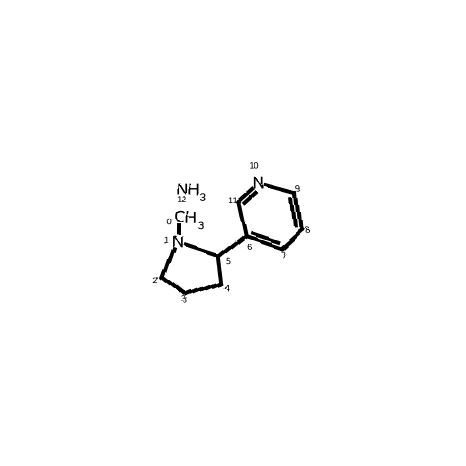 CN1CCCC1c1cccnc1.N